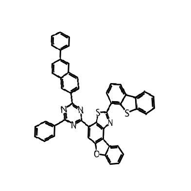 c1ccc(-c2ccc3cc(-c4nc(-c5ccccc5)nc(-c5cc6oc7ccccc7c6c6nc(-c7cccc8c7sc7ccccc78)sc56)n4)ccc3c2)cc1